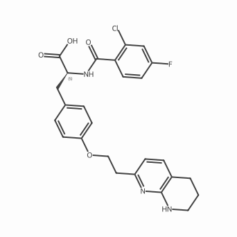 O=C(N[C@@H](Cc1ccc(OCCc2ccc3c(n2)NCCC3)cc1)C(=O)O)c1ccc(F)cc1Cl